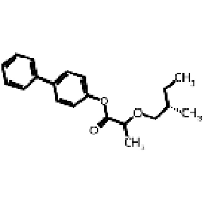 CC[C@H](C)COC(C)C(=O)Oc1ccc(-c2ccccc2)cc1